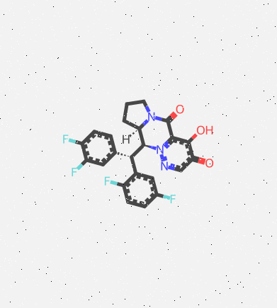 O=C1c2c(O)c(=O)cnn2[C@@H]([C@@H](c2ccc(F)c(F)c2)c2cc(F)ccc2F)[C@H]2CCCN12